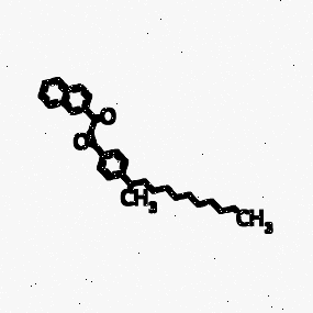 CCCCCCCCCCC(C)c1ccc(C2OC2C(=O)c2ccc3ccccc3c2)cc1